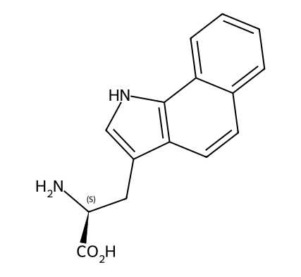 N[C@@H](Cc1c[nH]c2c1ccc1ccccc12)C(=O)O